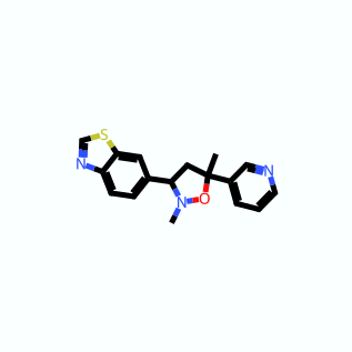 CN1OC(C)(c2cccnc2)CC1c1ccc2ncsc2c1